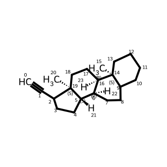 C#CC1CC[C@H]2[C@@H]3CCC4CCCC[C@]4(C)[C@@H]3CC[C@]12C